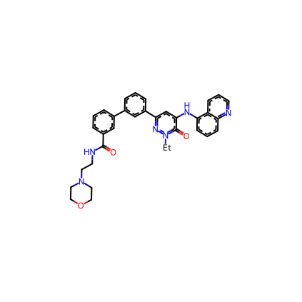 CCn1nc(-c2cccc(-c3cccc(C(=O)NCCN4CCOCC4)c3)c2)cc(Nc2cccc3ncccc23)c1=O